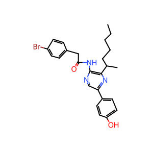 CCCCCC(C)c1nc(-c2ccc(O)cc2)cnc1NC(=O)Cc1ccc(Br)cc1